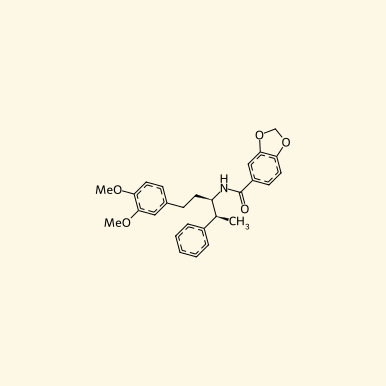 COc1ccc(CC[C@@H](NC(=O)c2ccc3c(c2)OCO3)[C@@H](C)c2ccccc2)cc1OC